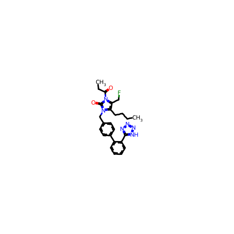 CCCCc1c(CF)n(C(=O)CC)c(=O)n1Cc1ccc(-c2ccccc2-c2nnn[nH]2)cc1